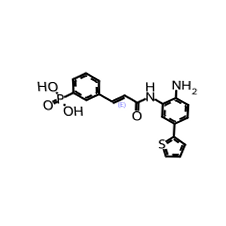 Nc1ccc(-c2cccs2)cc1NC(=O)/C=C/c1cccc(P(=O)(O)O)c1